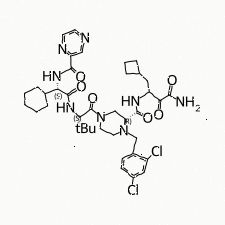 CC(C)(C)[C@H](NC(=O)[C@@H](NC(=O)c1cnccn1)C1CCCCC1)C(=O)N1CCN(Cc2ccc(Cl)cc2Cl)[C@@H](C(=O)NC(CC2CCC2)C(=O)C(N)=O)C1